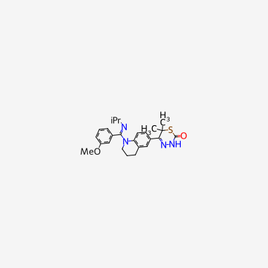 COc1cccc(C(=NC(C)C)N2CCCc3cc(C4=NNC(=O)SC4(C)C)ccc32)c1